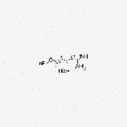 Br.CCCONCCSC(=N)N